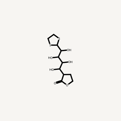 O=C1OCCC1C(O)C(O)C(O)C(O)C1SCCS1